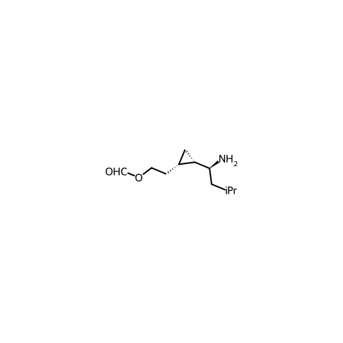 CC(C)C[C@H](N)[C@H]1C[C@H]1CCOC=O